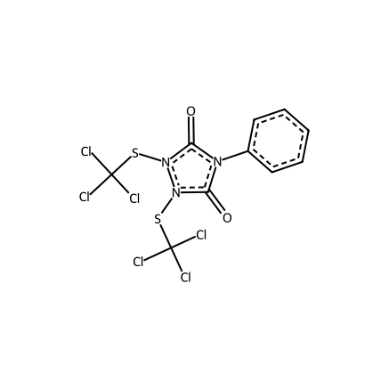 O=c1n(-c2ccccc2)c(=O)n(SC(Cl)(Cl)Cl)n1SC(Cl)(Cl)Cl